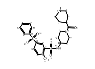 O=C(C1CCNCC1)N1CCC(NS(=O)(=O)c2cc(S(=O)(=O)c3ccccc3)ccc2C(F)(F)F)CC1